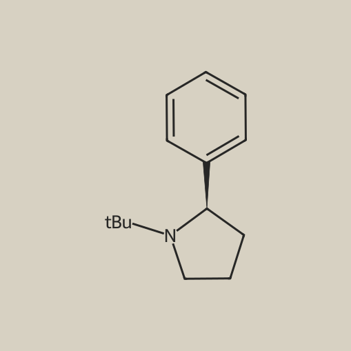 CC(C)(C)N1CCC[C@@H]1c1ccccc1